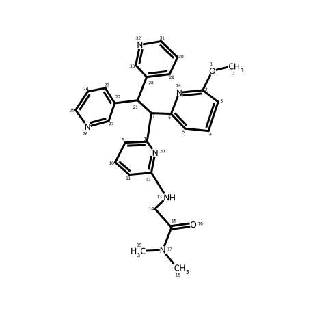 COc1cccc(C(c2cccc(NCC(=O)N(C)C)n2)C(c2cccnc2)c2cccnc2)n1